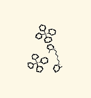 Cc1cccc[n+]1CCCCC[n+]1ccccc1C.c1ccc([B-](c2ccccc2)(c2ccccc2)c2ccccc2)cc1.c1ccc([B-](c2ccccc2)(c2ccccc2)c2ccccc2)cc1